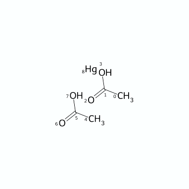 CC(=O)O.CC(=O)O.[Hg]